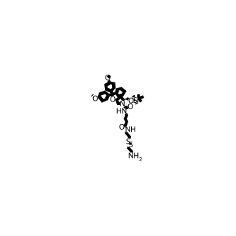 COc1ccc(C(O[C@@H]2C[C@@H](CO[Si](C)(C)C(C)(C)C)N(C(=O)NCCCC(=O)NCCSSCCN)C2)(c2ccccc2)c2ccc(OC)cc2)cc1